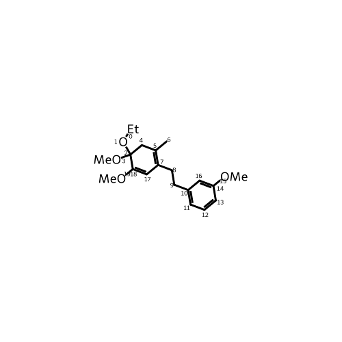 CCOC1(OC)CC(C)=C(CCc2cccc(OC)c2)C=C1OC